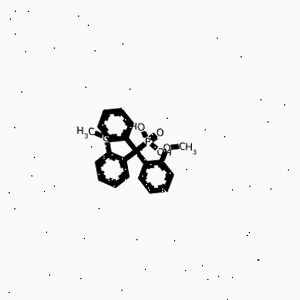 COc1ccccc1C(c1ccccc1)(c1ccccc1OC)P(=O)(O)O